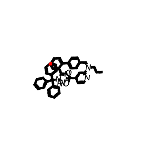 CCCN(Cc1ccc(-c2ccccc2-c2nnnn2C(c2ccccc2)(c2ccccc2)c2ccccc2)cc1)c1cc(C(=O)O)ccn1